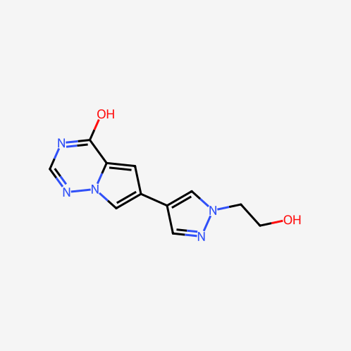 OCCn1cc(-c2cc3c(O)ncnn3c2)cn1